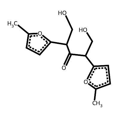 Cc1ccc(C(CO)C(=O)C(CO)c2ccc(C)o2)o1